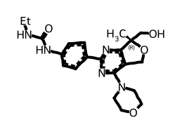 CCNC(=O)Nc1ccc(-c2nc(N3CCOCC3)c3c(n2)[C@](C)(CO)OC3)cc1